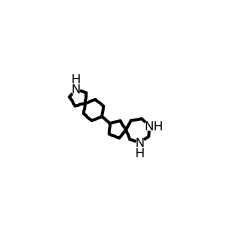 C1CC2(CCC(C3CCC4(CCNC4)CC3)C2)CNCN1